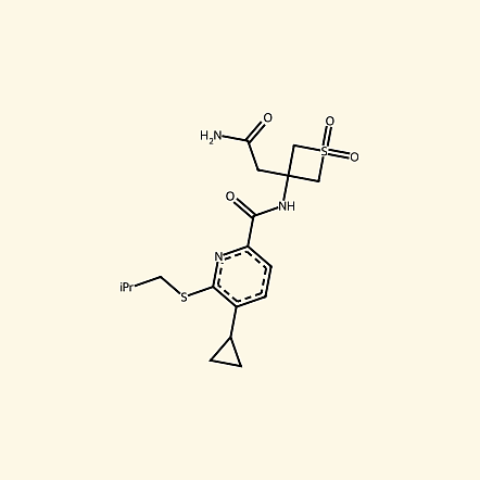 CC(C)CSc1nc(C(=O)NC2(CC(N)=O)CS(=O)(=O)C2)ccc1C1CC1